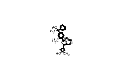 Cc1cc(C(C)(O)c2ccccc2)ccc1C1=NC(C2CC(C)(O)C2)=C2C=NC=C[N+]12N